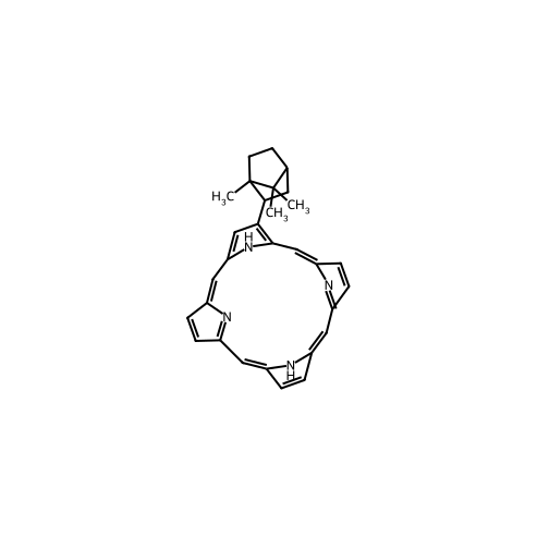 CC1(C)C2CCC1(C)C(c1cc3cc4nc(cc5ccc(cc6nc(cc1[nH]3)C=C6)[nH]5)C=C4)C2